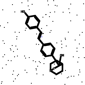 Oc1ccc(/C=C/c2ccc(C3(O)CN4CCC3CC4)cc2)cc1